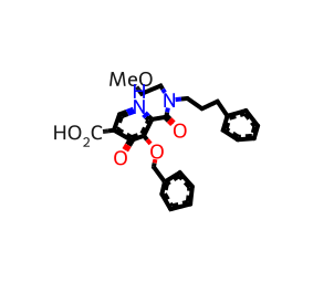 COCCN(CCCc1ccccc1)C(=O)c1[nH]cc(C(=O)O)c(=O)c1OCc1ccccc1